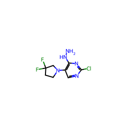 NNc1nc(Cl)ncc1N1CCC(F)(F)C1